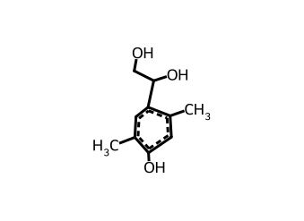 Cc1cc(C(O)CO)c(C)cc1O